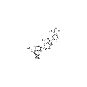 CC1(S(=O)(=O)c2cccc(C(F)(F)F)c2)CCOC(c2ccc(CF)c(S(C)(=O)=O)c2)C1